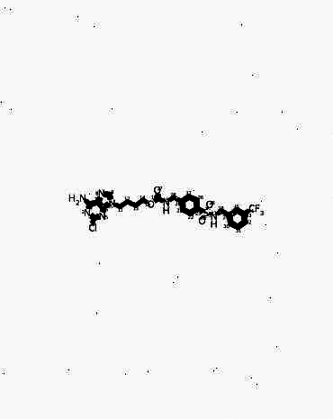 Nc1nc(Cl)nc2c1ncn2CCCCOC(=O)NCc1ccc(S(=O)(=O)NCc2cccc(C(F)(F)F)c2)cc1